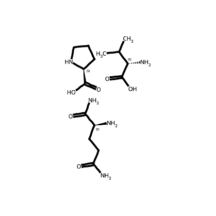 CC(C)[C@H](N)C(=O)O.NC(=O)CC[C@H](N)C(N)=O.O=C(O)[C@@H]1CCCN1